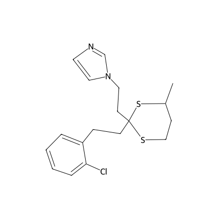 CC1CCSC(CCc2ccccc2Cl)(CCn2ccnc2)S1